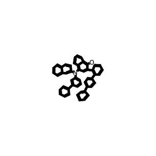 c1ccc(-c2ccc(-c3cccc4oc5c6ccccc6c(N(c6cccc(-c7ccccc7)c6)c6ccc7ccccc7c6)cc5c34)cc2)cc1